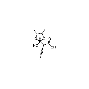 CC#CC(C(=O)O)[PH]1(O)OC(C)C(C)O1